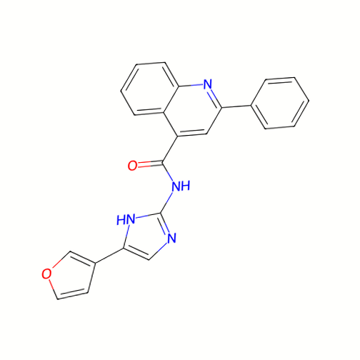 O=C(Nc1ncc(-c2ccoc2)[nH]1)c1cc(-c2ccccc2)nc2ccccc12